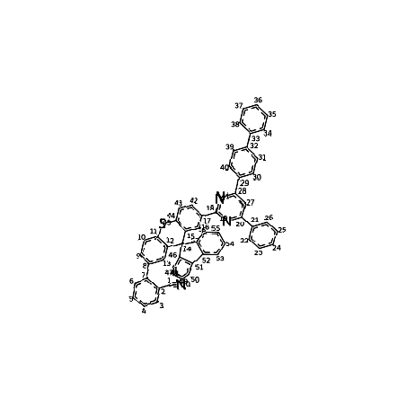 N#Cc1ccccc1-c1ccc2c(c1)C1(c3cc(-c4nc(-c5ccccc5)cc(-c5ccc(-c6ccccc6)cc5)n4)ccc3S2)c2ccccc2-c2ccccc21